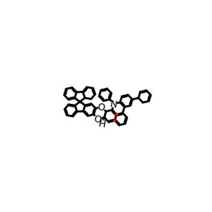 C1=CCC(c2ccc(N(C3=CC=C[C@H]4Oc5cc6c(cc5OC34)C3(c4ccccc4C4=CC=CCC43)c3ccccc3-6)c3ccccc3)c(-c3ccccc3)c2)C=C1